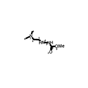 COC(=O)NNCCN(C)C